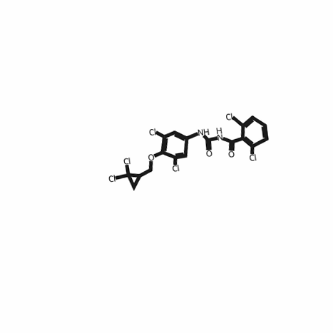 O=C(NC(=O)c1c(Cl)cccc1Cl)Nc1cc(Cl)c(OCC2CC2(Cl)Cl)c(Cl)c1